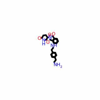 NCCc1ccc(CCNc2cccc3c2C[N+]([O-])(C2CCC(=O)NC2=O)C3=O)cc1